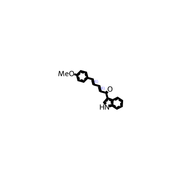 COc1ccc(/C=C/C=C/C(=O)c2c[nH]c3ccccc23)cc1